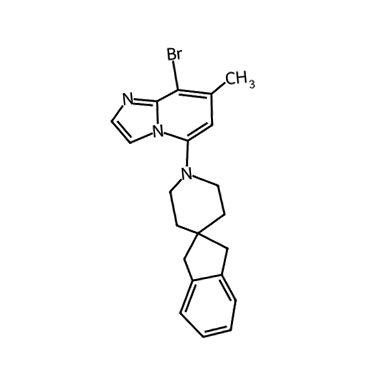 Cc1cc(N2CCC3(CC2)Cc2ccccc2C3)n2ccnc2c1Br